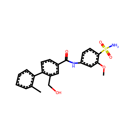 COc1cc(NC(=O)c2ccc(-c3ccccc3C)c(CO)c2)ccc1S(N)(=O)=O